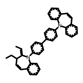 C/C=C1\C(CC)C=Cc2ccccc2N1c1ccc(-c2ccc(N3c4ccccc4C=Cc4ccccc43)cc2)cc1